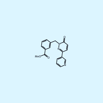 COC(=O)c1cccc(Cn2nc(-c3cccnc3)ccc2=O)c1